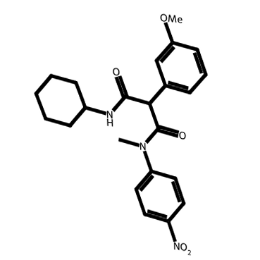 COc1cccc(C(C(=O)NC2CCCCC2)C(=O)N(C)c2ccc([N+](=O)[O-])cc2)c1